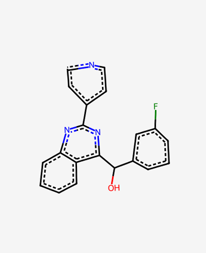 OC(c1cccc(F)c1)c1nc(-c2ccncc2)nc2ccccc12